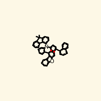 CC1(C)c2ccccc2-c2c(N(c3ccc(-c4cccc5ccccc45)cc3)c3ccccc3-c3cccc4oc5ccccc5c34)cccc21